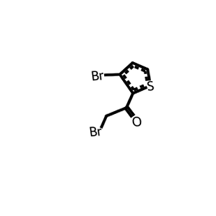 O=C(CBr)c1sccc1Br